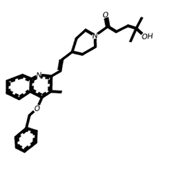 Cc1c(/C=C/C2CCN(C(=O)CCC(C)(C)O)CC2)nc2ccccc2c1OCc1ccccc1